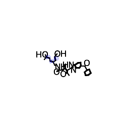 C\C(O)=C/C=C(\C=C\O)CNC(=O)c1oc(C)c(-c2nc3cc(C(=O)c4ccccc4)ccc3[nH]2)c1C